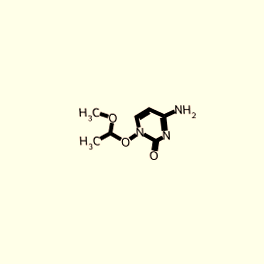 COC(C)On1ccc(N)nc1=O